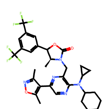 Cc1noc(C)c1-c1cnc(N(C2CCCCC2)C2CC2)c(CN2C(=O)OC(c3cc(C(F)(F)F)cc(C(F)(F)F)c3)[C@@H]2C)n1